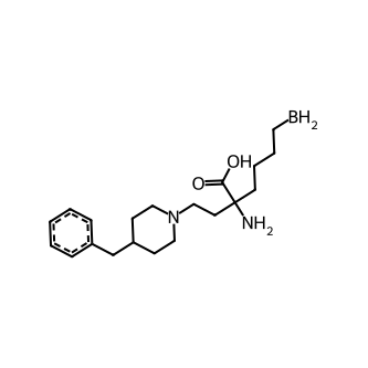 BCCCCC(N)(CCN1CCC(Cc2ccccc2)CC1)C(=O)O